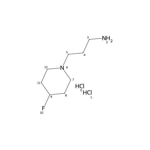 Cl.Cl.NCCCN1CCC(F)CC1